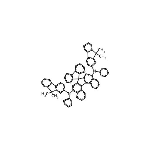 CC1(C)c2ccccc2-c2ccc(N(c3ccccc3)c3cc4c(c5ccccc35)-c3c(cc(N(c5ccccc5)c5ccc6c(c5)C(C)(C)c5ccccc5-6)c5ccccc35)C43c4ccccc4-c4ccccc43)cc21